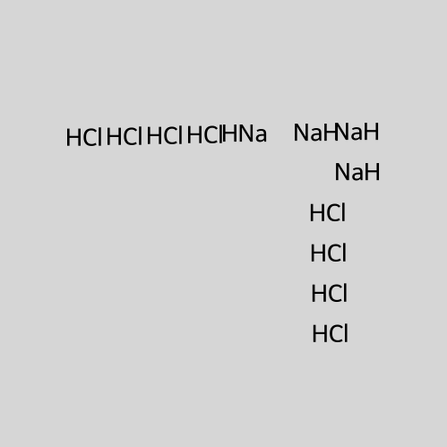 Cl.Cl.Cl.Cl.Cl.Cl.Cl.Cl.[NaH].[NaH].[NaH].[NaH]